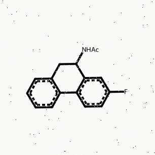 CC(=O)NC1Cc2ccccc2-c2ccc(F)cc21